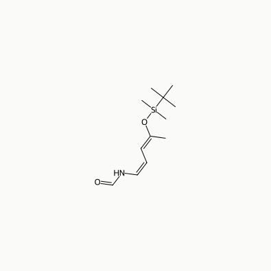 C/C(=C\C=C/NC=O)O[Si](C)(C)C(C)(C)C